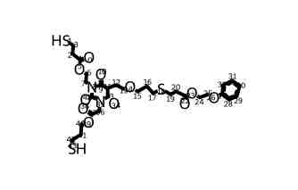 O=C(CCS)OCCN1C(=O)C(CCOCCCSCCC(=O)OCCOc2ccccc2)C(=O)N(CC(=O)OCCCS)C1=O